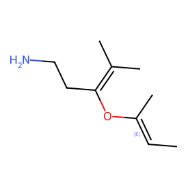 C/C=C(\C)OC(CCN)=C(C)C